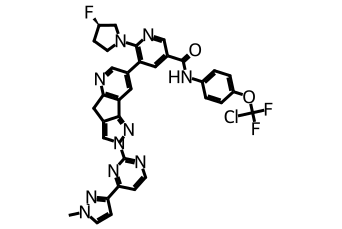 Cn1ccc(-c2ccnc(-n3cc4c(n3)-c3cc(-c5cc(C(=O)Nc6ccc(OC(F)(F)Cl)cc6)cnc5N5CC[C@@H](F)C5)cnc3C4)n2)n1